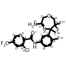 CC1(c2cc(NC(=O)c3ncc(C(F)(F)F)cc3Cl)ccc2F)N=C(N)COCC1(F)F